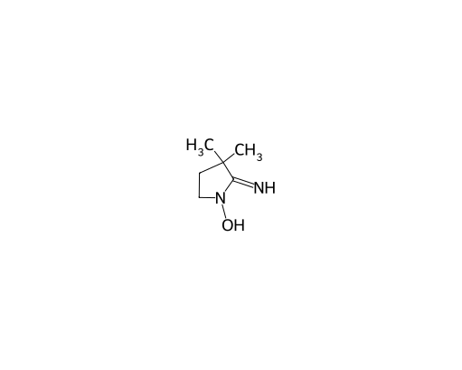 CC1(C)CCN(O)C1=N